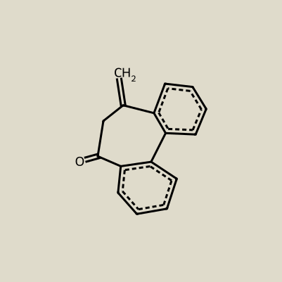 C=C1CC(=O)c2ccccc2-c2ccccc21